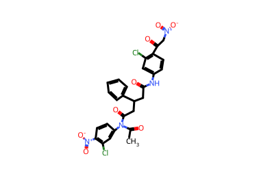 CC(=O)N(C(=O)CC(CC(=O)Nc1ccc(C(=O)C[N+](=O)[O-])c(Cl)c1)c1ccccc1)c1ccc([N+](=O)[O-])c(Cl)c1